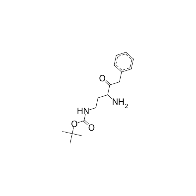 CC(C)(C)OC(=O)NCCC(N)C(=O)Cc1ccccc1